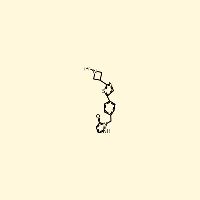 CC(C)N1CC(c2ncc(-c3ccc(Cn4[nH]ccc4=O)cc3)s2)C1